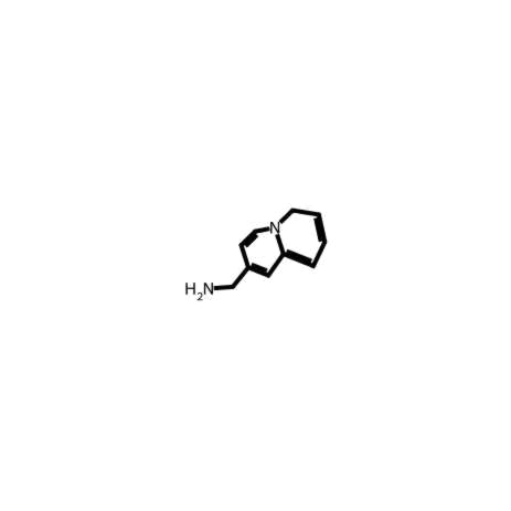 NCC1=CC2=CC=CCN2C=C1